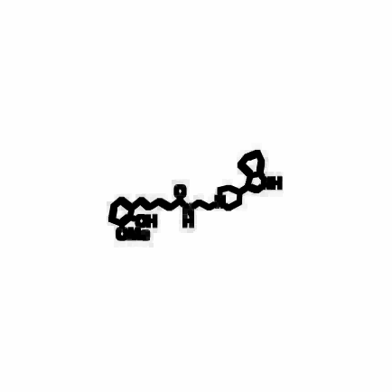 COc1cccc(C=CC=CC(=O)NCCN2CCC(c3c[nH]c4ccccc34)CC2)c1O